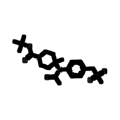 CC(=O)N(c1ccc(CS(C)(=O)=O)cc1)C1(C)CCN(C(=O)OC(C)(C)C)CC1